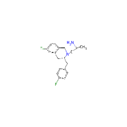 CC(N)CN1Cc2ccc(F)cc2CC1Cc1ccc(F)cc1